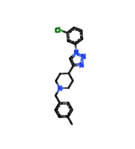 Cc1ccc(CN2CCC(c3cn(-c4cccc(Cl)c4)nn3)CC2)cc1